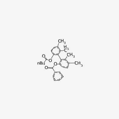 CCCCC(=O)Oc1ccc(C)c(C)c1-c1c(OC(=O)c2ccccc2)ccc(C)c1C